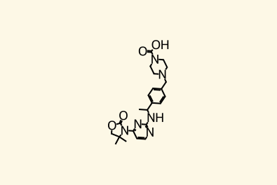 CC(Nc1nccc(N2C(=O)OCC2(C)C)n1)c1ccc(CN2CCN(C(=O)O)CC2)cc1